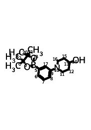 CC1(C)OB(c2cccc(N3CCC(O)CC3)c2)OC1(C)C